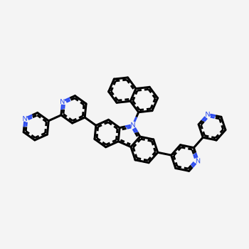 c1cncc(-c2cc(-c3ccc4c5ccc(-c6ccnc(-c7cccnc7)c6)cc5n(-c5cccc6ccccc56)c4c3)ccn2)c1